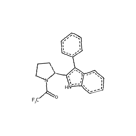 O=C(N1CCCC1c1[nH]c2ccccc2c1-c1ccccc1)C(F)(F)F